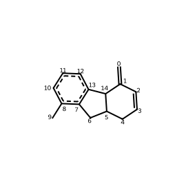 C=C1C=CCC2Cc3c(C)cccc3C12